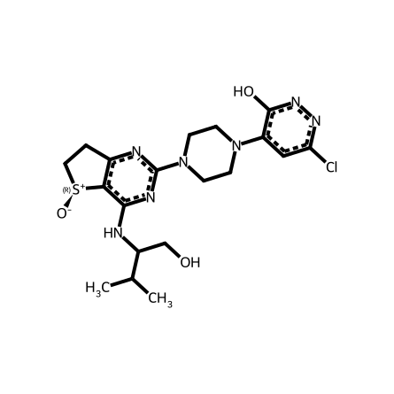 CC(C)C(CO)Nc1nc(N2CCN(c3cc(Cl)nnc3O)CC2)nc2c1[S@@+]([O-])CC2